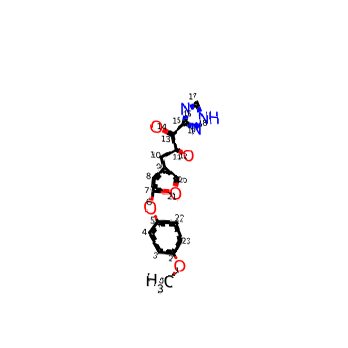 COc1ccc(Oc2cc(CC(=O)C(=O)c3nc[nH]n3)co2)cc1